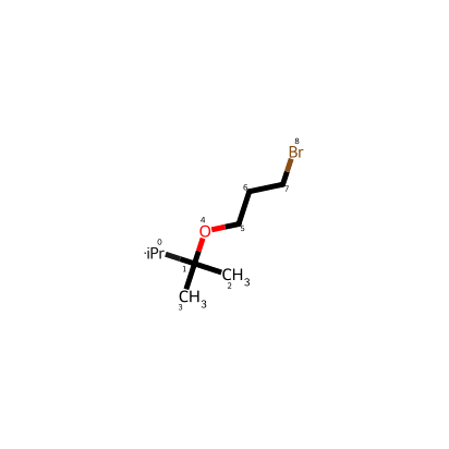 C[C](C)C(C)(C)OCCCBr